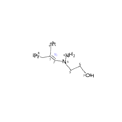 CCC/C(=C\N(N)CCO)C(C)C